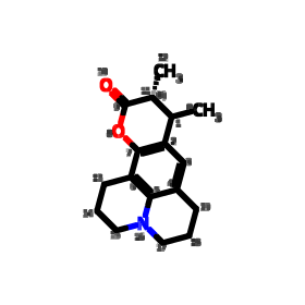 CC1c2cc3c4c(c2OC(=O)[C@@H]1C)CCCN4CCC3